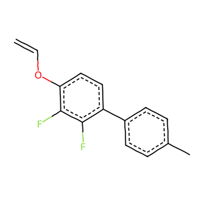 C=COc1ccc(-c2ccc(C)cc2)c(F)c1F